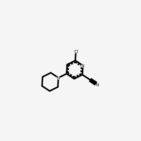 N#Cc1cc(N2CCCCC2)cc(Cl)n1